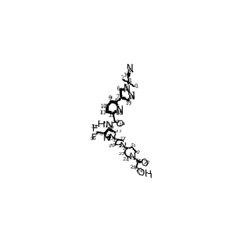 CC(C)(C#N)n1cc(-c2cccc(C(=O)Nc3cn(C4CN(C5CCN(C(=O)CO)CC5)C4)nc3C(F)F)n2)cn1